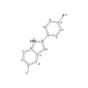 Cc1ccc2[nH]c(-c3ccc(F)cc3)cc2c1